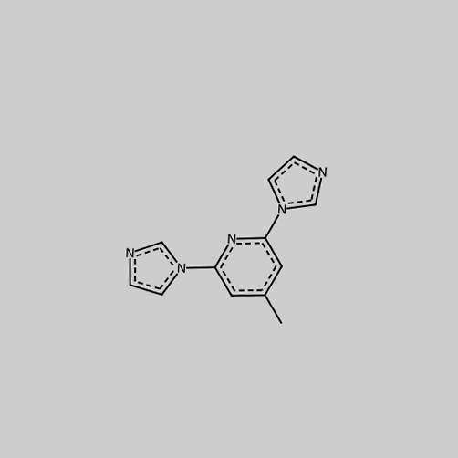 Cc1cc(-n2ccnc2)nc(-n2ccnc2)c1